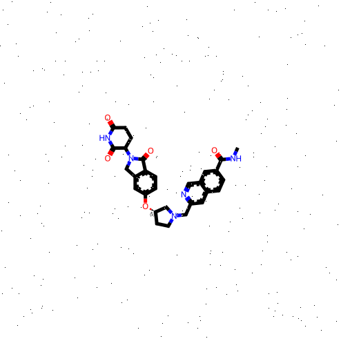 CNC(=O)c1ccc2cc(CN3CC[C@H](Oc4ccc5c(c4)CN(C4CCC(=O)NC4=O)C5=O)C3)ncc2c1